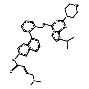 CC(C)c1cnn2c(NCc3ccccc3-c3nccc4cc(NC(=O)/C=C/CN(C)C)ccc34)nc(N3CCNCC3)nc12